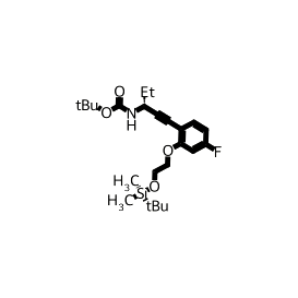 CC[C@H](C#Cc1ccc(F)cc1OCCO[Si](C)(C)C(C)(C)C)NC(=O)OC(C)(C)C